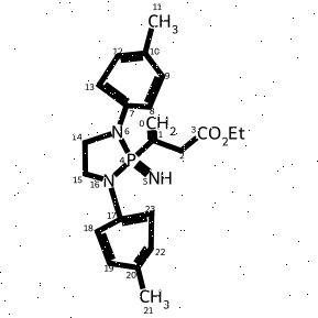 C=C(CC(=O)OCC)P1(=N)N(c2ccc(C)cc2)CCN1c1ccc(C)cc1